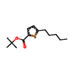 CCCCCc1ccc(C(=O)OC(C)(C)C)s1